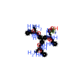 NCCCC[C@@H](NC(=O)Cc1c[nH]c2ccccc12)C(=O)Nc1ccc(C(c2ccc(NC(=O)[C@@H](CCCCN)NC(=O)Cc3c[nH]c4ccccc34)cc2)c2ccc(NC(=O)[C@@H](CCCCN)NC(=O)Cc3c[nH]c4ccccc34)cc2)cc1.O=C(O)C(F)(F)F